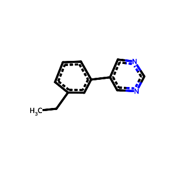 CCc1cccc(-c2cncnc2)c1